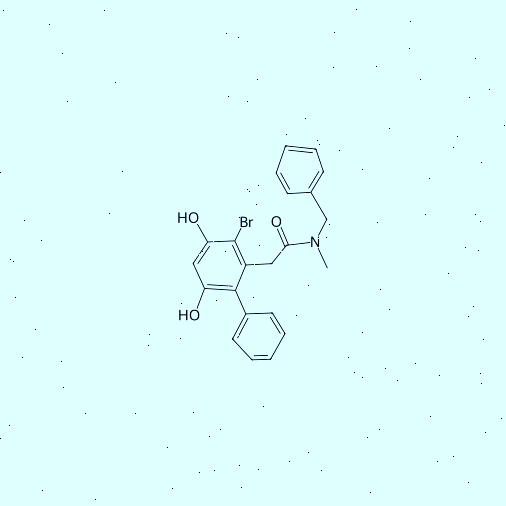 CN(Cc1ccccc1)C(=O)Cc1c(Br)c(O)cc(O)c1-c1ccccc1